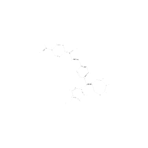 O=C(O)C1CCN(C(=O)/C=C/c2ccc(C(=C3CCCCCC3)c3ccc(O)cc3)cc2)CC1